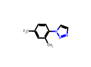 Cc1cc(C(F)(F)F)ccc1-n1ccnn1